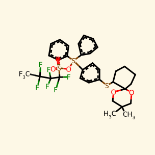 CC1(C)COC2(CCCCC2Sc2ccc(S(OS(=O)(=O)C(F)(F)C(F)(F)C(F)(F)C(F)(F)F)(c3ccccc3)c3ccccc3)cc2)OC1